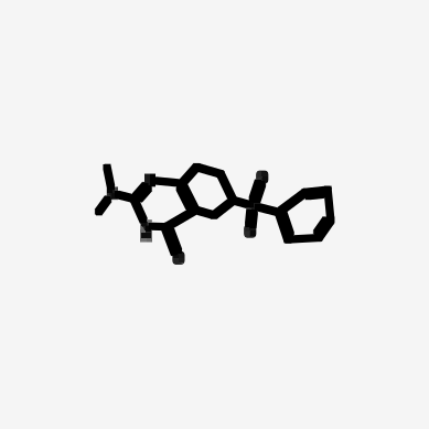 CN(C)c1nc2c(c(=O)[nH]1)CC(S(=O)(=O)c1ccccc1)CC2